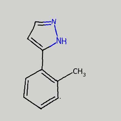 Cc1[c]cccc1-c1ccn[nH]1